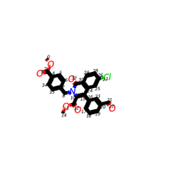 COC(=O)c1ccc(Cn2c(C(=O)OC)c(-c3cccc(C=O)c3)c3cc(Cl)ccc3c2=O)cc1